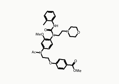 COC(=O)c1ccc(OCCN(C(C)=O)c2ccc(N(CCN3CCOCC3)C(=O)Nc3ccccc3C)c(OC)c2)cc1